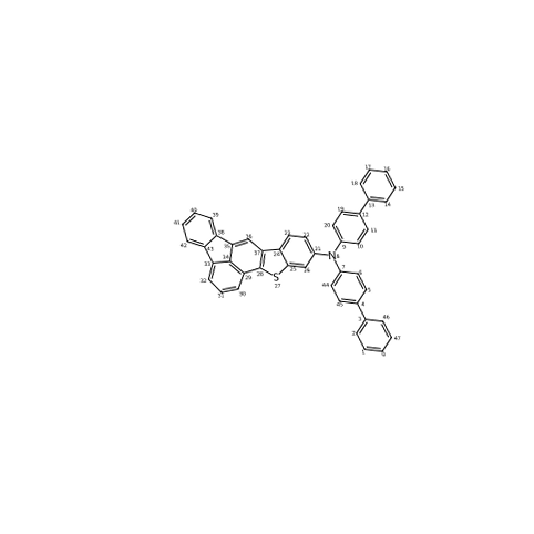 c1ccc(-c2ccc(N(c3ccc(-c4ccccc4)cc3)c3ccc4c(c3)sc3c5cccc6c5c(cc43)-c3ccccc3-6)cc2)cc1